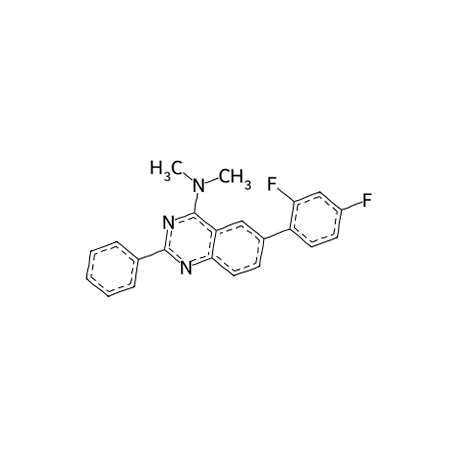 CN(C)c1nc(-c2ccccc2)nc2ccc(-c3ccc(F)cc3F)cc12